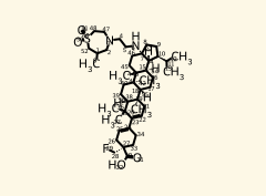 CC1CN(CCN[C@]23CC[C@@H](C(C)C)[C@@H]2[C@H]2CC[C@@H]4[C@@]5(C)CC=C(C6=CC[C@](CF)(C(=O)O)CC6)C(C)(C)[C@@H]5CC[C@@]4(C)[C@]2(C)CC3)CCS(=O)(=O)C1